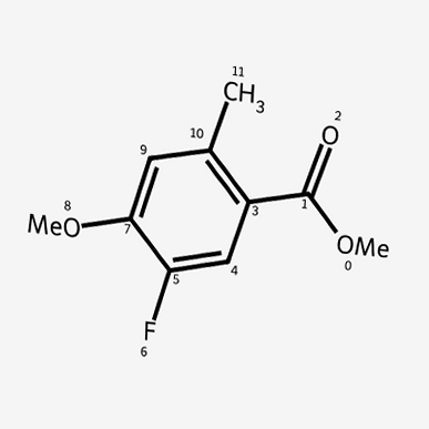 COC(=O)c1cc(F)c(OC)cc1C